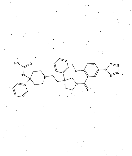 COc1ccc(-n2cnnn2)cc1C(=O)N1CCC(CCN2CCC(NC(=O)O)(c3ccccc3)CC2)(c2ccccc2)C1